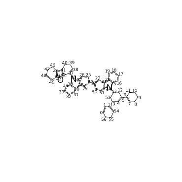 C1=CC(C2C=C(C3=CCCCC3)CC(n3c4ccccc4c4cc(-c5ccc6c(c5)c5ccccc5n6C5=CCCc6c5oc5c6CCC=C5)ccc43)C2)=CCC1